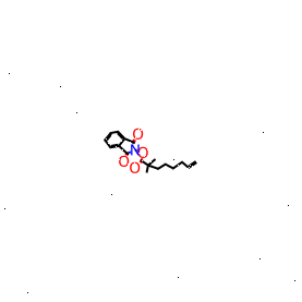 C=CCCCCC(C)(C)C(=O)ON1C(=O)c2ccccc2C1=O